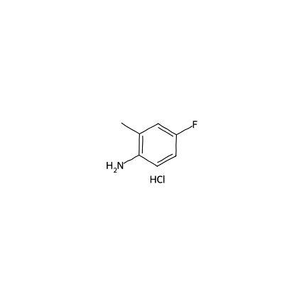 Cc1cc(F)ccc1N.Cl